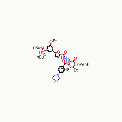 CCCCC[C@@H](C(=O)NCNC(=O)c1ccc(-c2cc(OCC)cc(P(=O)(OCCCC)OCCCC)c2)o1)[C@@H](CC)N(C=O)OC(=O)c1ccc(N2CCOCC2)cc1